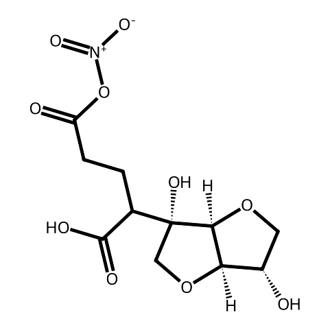 O=C(CCC(C(=O)O)[C@]1(O)CO[C@@H]2[C@@H](O)CO[C@@H]21)O[N+](=O)[O-]